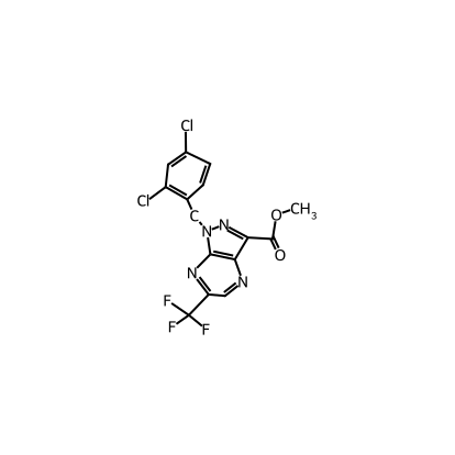 COC(=O)c1nn(Cc2ccc(Cl)cc2Cl)c2nc(C(F)(F)F)cnc12